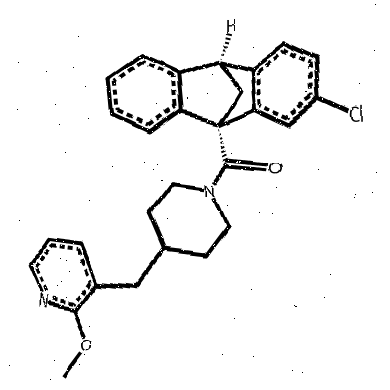 COc1ncccc1CC1CCN(C(=O)[C@@]23C[C@@H](c4ccccc42)c2ccc(Cl)cc23)CC1